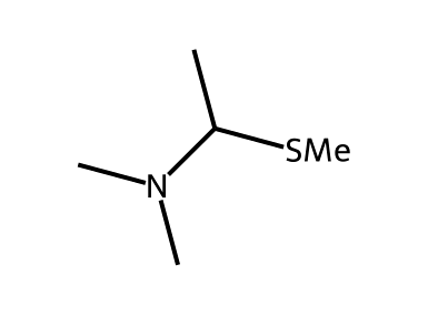 CSC(C)N(C)C